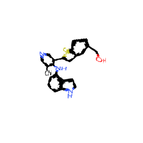 N#Cc1cncc(-c2cc3cc(CO)ccc3s2)c1Nc1cccc2[nH]ccc12